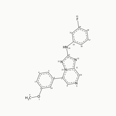 COc1cccc(-c2cncc3nc(Nc4cccc(F)c4)nn23)c1